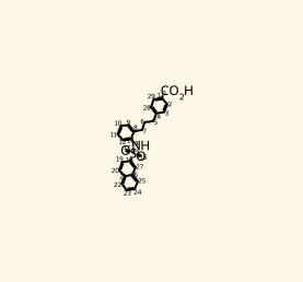 O=C(O)c1ccc(CCCc2ccccc2NS(=O)(=O)c2ccc3ccccc3c2)cc1